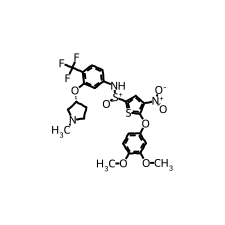 COc1ccc(Oc2sc([S+]([O-])Nc3ccc(C(F)(F)F)c(O[C@@H]4CCN(C)C4)c3)cc2[N+](=O)[O-])cc1OC